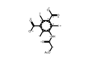 CC(=O)OCC(=O)Nc1c(C)c(C(=O)Cl)c(I)c(C(=O)Cl)c1I